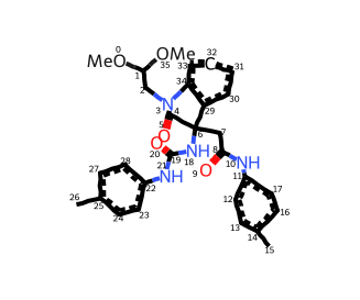 COC(CN1C(=O)C(CC(=O)Nc2ccc(C)cc2)(NC(=O)Nc2ccc(C)cc2)c2ccccc21)OC